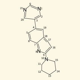 c1ncc(-c2ccc3nc(N4CCCCC4)ccc3c2)cn1